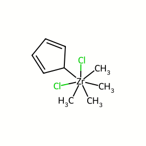 [CH3][Zr]([CH3])([CH3])([CH3])([Cl])([Cl])[CH]1C=CC=C1